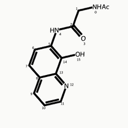 CC(=O)NCC(=O)Nc1ccc2cccnc2c1O